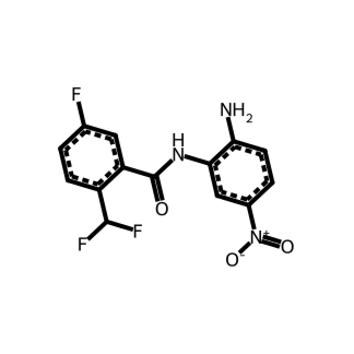 Nc1ccc([N+](=O)[O-])cc1NC(=O)c1cc(F)ccc1C(F)F